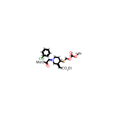 CCOC(=O)/C=C1/CN([C@H](C(=O)OC)c2ccccc2Cl)CCC1SCOC(=O)OC(C)C